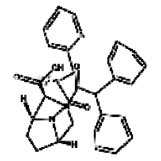 CN(Cc1ccccn1)C(=O)N1[C@H]2CC[C@@H]1[C@@H](C(=O)O)N(C(=O)C(c1ccccc1)c1ccccc1)C2